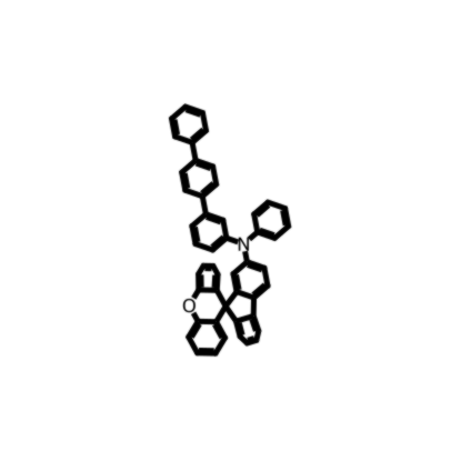 c1ccc(-c2ccc(-c3cccc(N(c4ccccc4)c4ccc5c(c4)C4(c6ccccc6Oc6ccccc64)c4ccccc4-5)c3)cc2)cc1